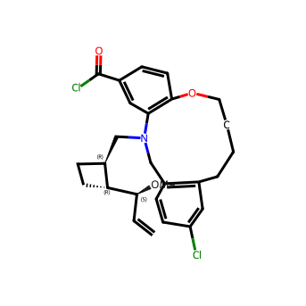 C=C[C@H](OC)[C@@H]1CC[C@H]1CN1Cc2ccc(Cl)cc2CCCCOc2ccc(C(=O)Cl)cc21